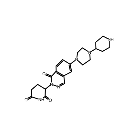 O=C1CCC(n2ncc3cc(N4CCN(C5CCNCC5)CC4)ccc3c2=O)C(=O)N1